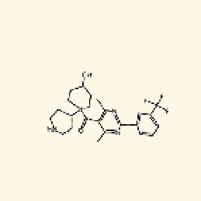 Cc1nc(-c2cccc(C(F)(F)F)c2)nc(C)c1C(=O)[N+]1(C2CCNCC2)CCC(O)CC1